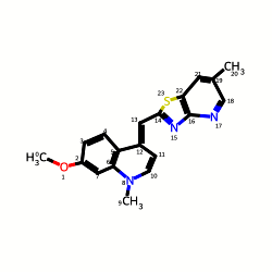 COc1ccc2c(c1)N(C)C=C/C2=C\c1nc2ncc(C)cc2s1